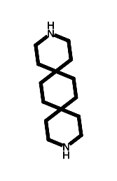 C1CC2(CCN1)CCC1(CCNCC1)CC2